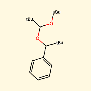 CCCCOC(OC(c1ccccc1)C(C)(C)C)C(C)(C)C